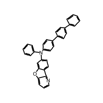 c1ccc(-c2ccc(-c3ccc(N(c4ccccc4)c4ccc5c(c4)oc4cccnc45)cc3)cc2)cc1